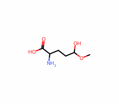 COC(O)CCC(N)C(=O)O